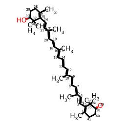 CC1=C(/C=C/C(C)=C/C=C/C(C)=C/C=C/C=C(C)/C=C/C=C(C)/C=C/C2=C(C)CCC(O)C2(C)C)C(C)(C)C(=O)CC1